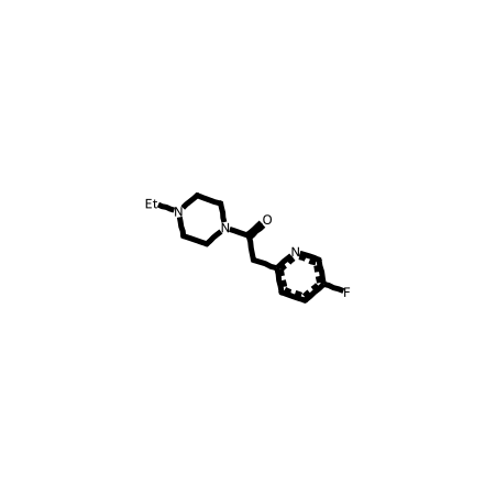 CCN1CCN(C(=O)Cc2ccc(F)cn2)CC1